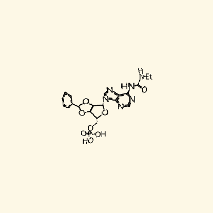 CCNC(=O)Nc1ncnc2c1ncn2[C@@H]1O[C@H](COP(=O)(O)O)C2OC(c3ccccc3)OC21